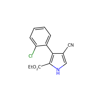 CCOC(=O)c1[nH]cc(C#N)c1-c1ccccc1Cl